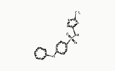 Cc1nsc(NS(=O)(=O)c2ccc(Oc3ccccc3)cc2)n1